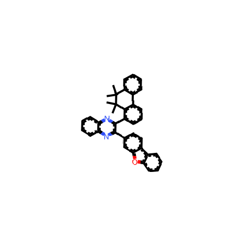 CC1(C)c2ccccc2-c2cccc(-c3nc4ccccc4nc3-c3ccc4c(c3)oc3ccccc34)c2C1(C)C